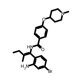 CC/C(C)=C(\NC(=O)c1ccc(OC2CCN(C)CC2)cc1)c1ccc(Br)cc1N